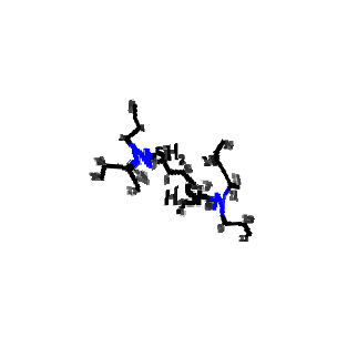 CCCN([SiH2]CC[SiH2]N(CCC)C(C)CC)C(C)CC